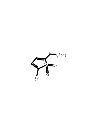 CCCCCCC1=CC=C(Br)S1(=O)=O